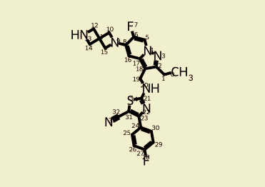 CCc1nn2cc(F)c(N3CC4(CNC4)C3)cc2c1CNc1nc(-c2ccc(F)cc2)c(C#N)s1